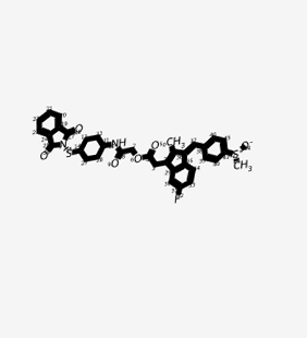 CC1=C(CC(=O)OCC(=O)NC2CCC(SN3C(=O)c4ccccc4C3=O)CC2)c2cc(F)ccc2/C1=C\c1ccc([S+](C)[O-])cc1